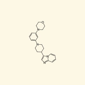 c1cc(N2CCOCC2)cc(N2CCC(c3cnc4ccccn34)CC2)c1